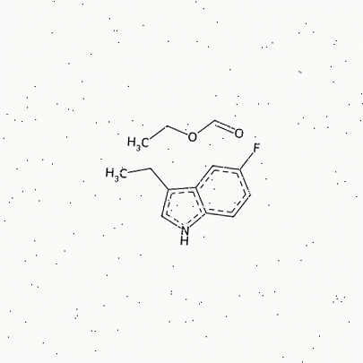 CCOC=O.CCc1c[nH]c2ccc(F)cc12